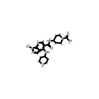 CCn1ncc2c(NC3CCOCC3)c(C(=O)NC3CCN(C(=O)C(C)C)CC3)cnc21